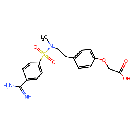 CN(CCc1ccc(OCC(=O)O)cc1)S(=O)(=O)c1ccc(C(=N)N)cc1